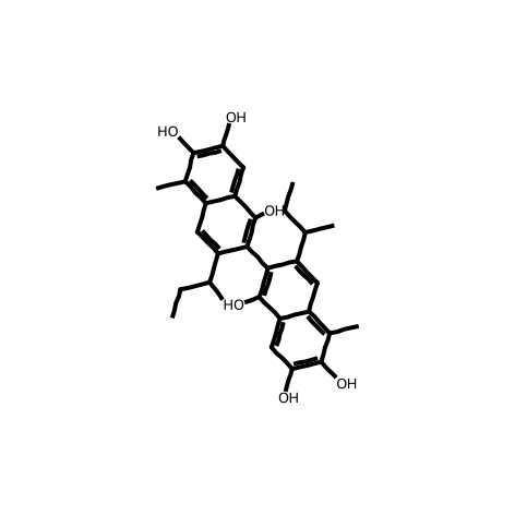 CCC(C)c1cc2c(C)c(O)c(O)cc2c(O)c1-c1c(C(C)CC)cc2c(C)c(O)c(O)cc2c1O